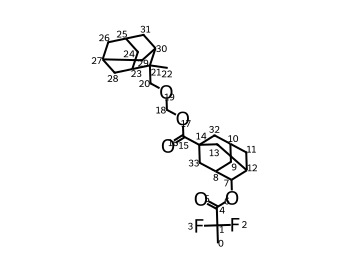 CC(F)(F)C(=O)OC1C2CC3CC1CC(C(=O)OCOCC1(C)C4CC5CC(C4)CC1C5)(C3)C2